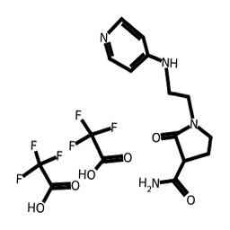 NC(=O)C1CCN(CCNc2ccncc2)C1=O.O=C(O)C(F)(F)F.O=C(O)C(F)(F)F